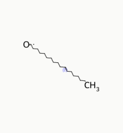 CCCCCC/C=C/CCCCCCCCC[C]=O